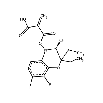 C=C(C(=O)O)C(=O)ON1c2ccc(F)c(F)c2OC(CC)(CC)[C@@H]1C